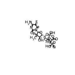 CC(OP(=O)(O)OP(=O)(O)OP(=O)(O)O)[C@H]1O[C@@H](n2nc(F)c(N)nc2=O)[C@](C)(F)C1O